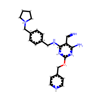 N=Cc1c(N)nc(OCc2ccncc2)nc1NCc1ccc(CN2CCCC2)cc1